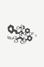 CC(C)(C)OC(=O)C(C(=O)NCc1cccc(C(F)(F)F)c1F)N1C(=O)C(N2C(=O)OC[C@@H]2c2ccccc2)C1C=Cc1ccccc1